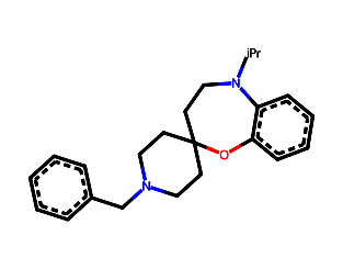 CC(C)N1CCC2(CCN(Cc3ccccc3)CC2)Oc2ccccc21